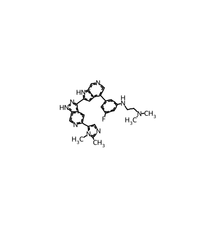 Cc1ncc(-c2cc3c(-c4cc5c(-c6cc(F)cc(NCCN(C)C)c6)cncc5[nH]4)n[nH]c3cn2)n1C